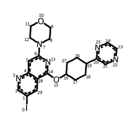 Ic1cnc2cc(N3CCOCC3)nc(OC3CCC(c4cnccn4)CC3)c2c1